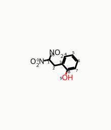 O=[N+]([O-])C(Cc1ccccc1O)[N+](=O)[O-]